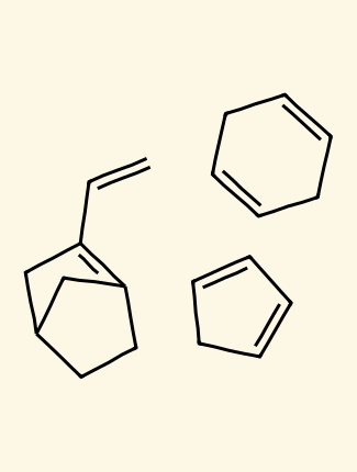 C1=CCC=C1.C1=CCC=CC1.C=CC1=C2CCC(C1)C2